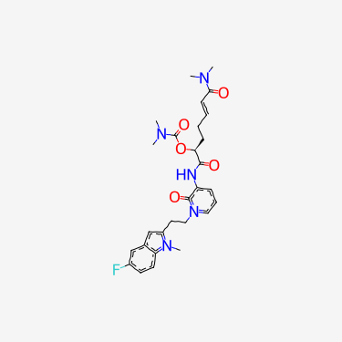 CN(C)C(=O)/C=C/CC[C@H](OC(=O)N(C)C)C(=O)Nc1cccn(CCc2cc3cc(F)ccc3n2C)c1=O